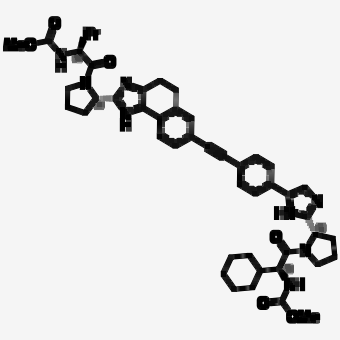 COC(=O)N[C@H](C(=O)N1CCC[C@H]1c1nc2c([nH]1)-c1ccc(C#Cc3ccc(-c4cnc([C@@H]5CCCN5C(=O)[C@@H](NC(=O)OC)C5CCCCC5)[nH]4)cc3)cc1CC2)C(C)C